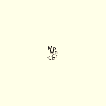 [Cr].[Cu].[Mn].[Mo]